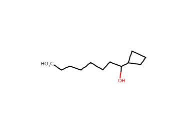 O=C(O)CCCCCCC(O)C1CCC1